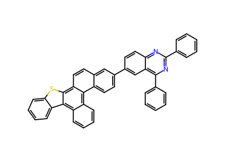 c1ccc(-c2nc(-c3ccccc3)c3cc(-c4ccc5c(ccc6c7sc8ccccc8c7c7ccccc7c56)c4)ccc3n2)cc1